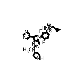 CN(c1ncc2c(n1)c(-c1cncnc1)cn2-c1c(F)ccc(NS(=O)(=O)CC2CC2)c1F)C1CCNCC1